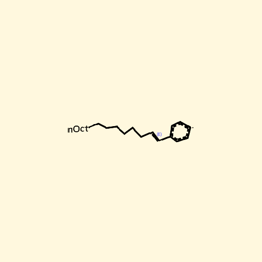 CCCCCCCCCCCCCC/C=C/c1cc[c]cc1